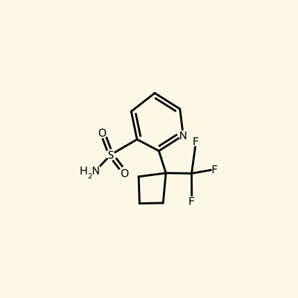 NS(=O)(=O)c1cccnc1C1(C(F)(F)F)CCC1